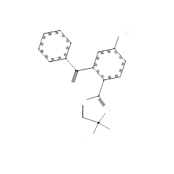 COc1ccc(C2=NC(C)(C)CO2)c(C(=O)c2ccccc2)c1